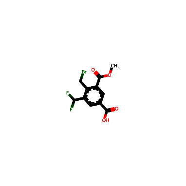 COC(=O)c1cc(C(=O)O)cc(C(F)F)c1CBr